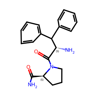 NC(=O)[C@@H]1CCCN1C(=O)[C@@H](N)C(c1ccccc1)c1ccccc1